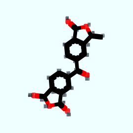 C=C1OC(=O)c2ccc(C(=O)c3ccc4c(c3)C(=O)OC4=O)cc21